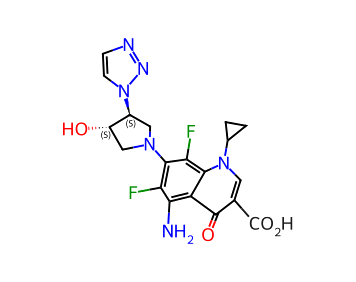 Nc1c(F)c(N2C[C@H](O)[C@@H](n3ccnn3)C2)c(F)c2c1c(=O)c(C(=O)O)cn2C1CC1